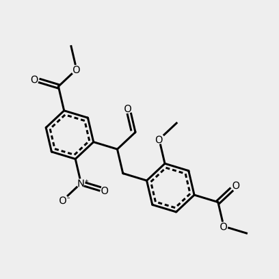 COC(=O)c1ccc(CC(C=O)c2cc(C(=O)OC)ccc2[N+](=O)[O-])c(OC)c1